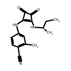 CC[C@@H](C)Nc1c(Nc2ccc(C#N)c(C)c2)c(=O)c1=O